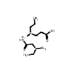 CN(CCN)CCC(=O)O.CN(CN)CC(=O)O